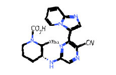 CC(C)(C)C1[C@H](Nc2cnc(C#N)c(-c3cnc4ccccn34)n2)CCCN1C(=O)O